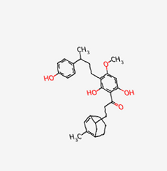 COc1cc(O)c(C(=O)CCC2CC3=C(C)C=C2CCC3)c(O)c1CCC(C)c1ccc(O)cc1